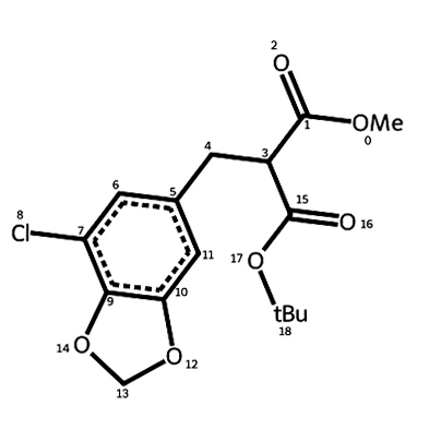 COC(=O)C(Cc1cc(Cl)c2c(c1)OCO2)C(=O)OC(C)(C)C